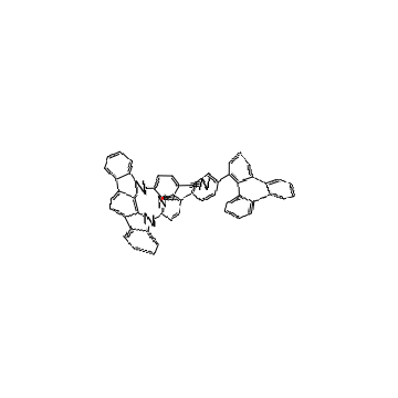 N#Cc1ccc(-n2c3ccccc3c3ccc4c5ccccc5n(-c5ccc(-c6ccc(-c7cccc8c9ccccc9c9ccccc9c78)cc6)cn5)c4c32)cc1